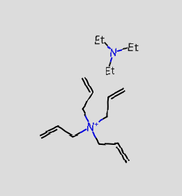 C=CC[N+](CC=C)(CC=C)CC=C.CCN(CC)CC